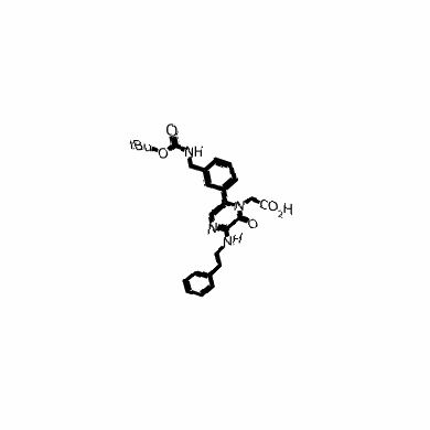 CC(C)(C)OC(=O)NCc1cccc(-c2cnc(NCCc3ccccc3)c(=O)n2CC(=O)O)c1